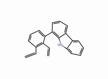 C=Cc1cccc(-c2cccc3c2[nH]c2ccccc23)c1C=C